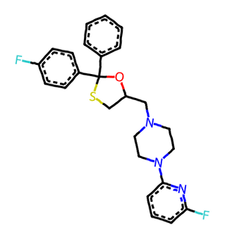 Fc1ccc(C2(c3ccccc3)OC(CN3CCN(c4cccc(F)n4)CC3)CS2)cc1